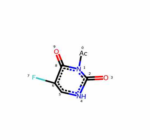 CC(=O)n1c(=O)[nH]cc(F)c1=O